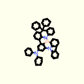 c1ccc(N(c2ccccc2)c2cc3c4c(c2)-n2c5ccccc5c5cccc(c52)B4N2c4ccccc4C(c4ccccc4)(c4ccccc4)c4cccc-3c42)cc1